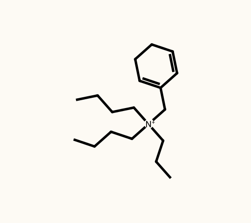 CCCC[N+](CCC)(CCCC)CC1=CCCC=C1